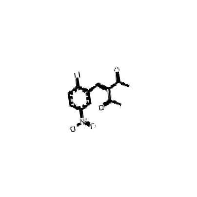 CC(=O)C(=Cc1cc([N+](=O)[O-])ccc1Cl)C(C)=O